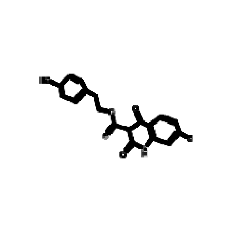 O=C1Nc2cc(Cl)ccc2C(=O)C1C(=O)OCCc1ccc(O)cc1